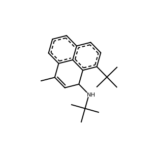 CC1=CC(NC(C)(C)C)c2c(C(C)(C)C)ccc3cccc1c23